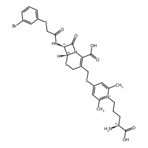 Cc1cc(SCC2=C(C(=O)O)N3C(=O)[C@H](NC(=O)CSc4cccc(Br)c4)[C@H]3SC2)cc(C)[n+]1CCC[C@H](N)C(=O)O